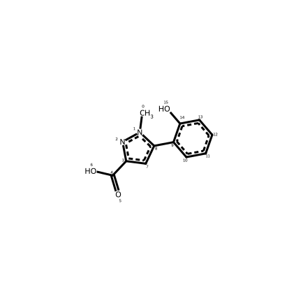 Cn1nc(C(=O)O)cc1-c1ccccc1O